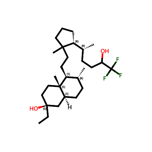 CC[C@]1(O)CC[C@@]2(C)[C@@H](CC[C@@H](C)[C@@H]2CCC2(C)CCC[C@@H]2[C@H](C)CCC(O)C(F)(F)F)C1